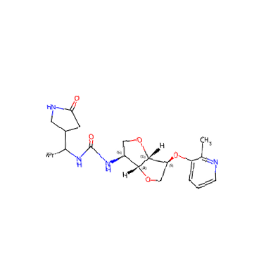 Cc1ncccc1O[C@H]1CO[C@H]2[C@@H]1OC[C@@H]2NC(=O)NC(C(C)C)C1CNC(=O)C1